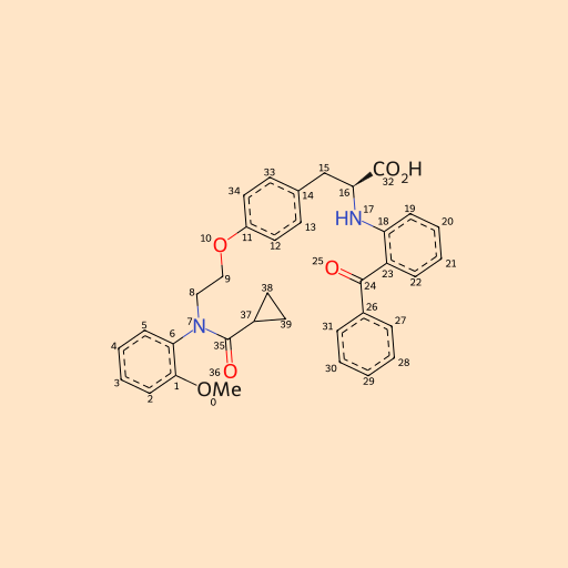 COc1ccccc1N(CCOc1ccc(C[C@H](Nc2ccccc2C(=O)c2ccccc2)C(=O)O)cc1)C(=O)C1CC1